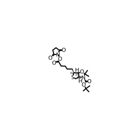 CC(C)(C)OC(=O)N1[C@H]2CS[C@@H](CCCCC(=O)ON3C(=O)CCC3=O)[C@H]2OC1(C)C